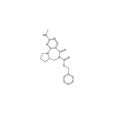 O=C(OCc1ccccc1)N1CC2CCCN2c2nc(NI)ncc2C1=O